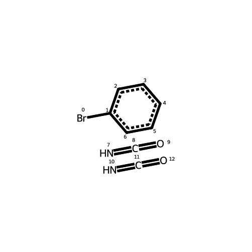 Brc1ccccc1.N=C=O.N=C=O